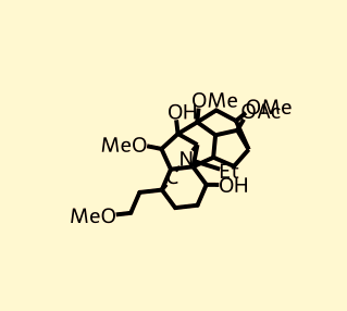 CCN1CC2(CCOC)CCC(O)C34C5CC6C(OC)CC(OC)(C5C6OC(C)=O)C(O)(C(OC)C23)C14